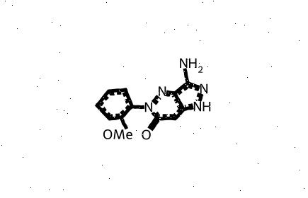 COc1ccccc1-n1nc2c(N)n[nH]c2cc1=O